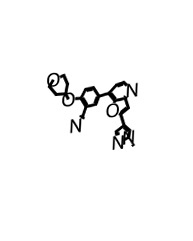 Cn1cc(-c2cc3nccc(-c4ccc(OC5CCOCC5)c(C#N)c4)c3o2)cn1